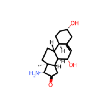 C[C@]12CC[C@H]3[C@@H]([C@@H](O)C=C4C[C@@H](O)CC[C@@H]43)[C@@H]1CC(=O)[C@@H]2N